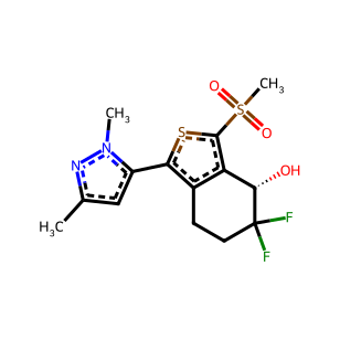 Cc1cc(-c2sc(S(C)(=O)=O)c3c2CCC(F)(F)[C@H]3O)n(C)n1